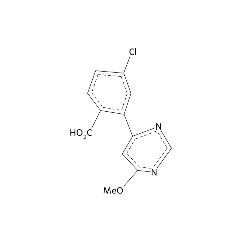 COc1cc(-c2cc(Cl)ccc2C(=O)O)ncn1